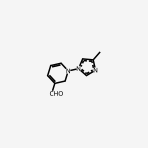 Cc1cn(N2C=CC=C(C=O)C2)cn1